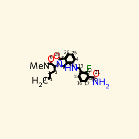 C=CCCC(C(=O)NC)N1Cc2c(NCc3cccc(C(N)=O)c3F)cccc2C1=O